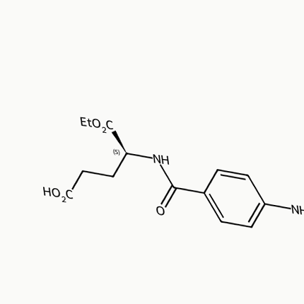 CCOC(=O)[C@H](CCC(=O)O)NC(=O)c1ccc(N)cc1